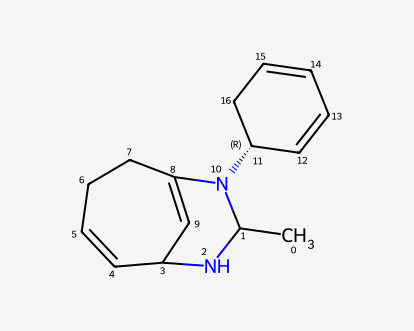 CC1NC2C=CCCC(=C2)N1[C@H]1C=CC=CC1